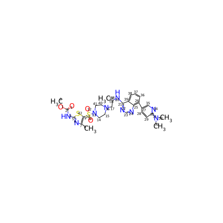 COC(=O)Nc1nc(C)c(S(=O)(=O)N2CCN(C[C@H](C)Nc3ncnc4c(-c5ccc(N(C)C)nc5)cccc34)CC2)s1